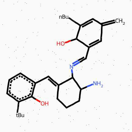 C=C1C=C(/C=N/C2/C(=C/c3cccc(C(C)(C)C)c3O)CCCC2N)C(O)C(CCCC)=C1